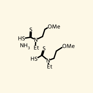 CCN(CCOC)C(=S)S.CCN(CCOC)C(=S)S.N